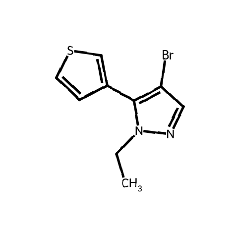 CCn1ncc(Br)c1-c1ccsc1